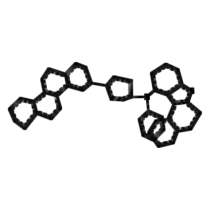 c1ccc(N(c2ccc(-c3ccc4ccc5c6ccccc6ccc5c4c3)cc2)c2cccc3sc4ccc5ccccc5c4c23)cc1